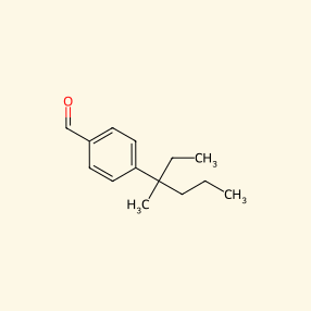 CCCC(C)(CC)c1ccc(C=O)cc1